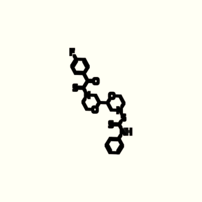 O=C(C(=S)N1CCOC(C2CN(SC(=S)Nc3ccccc3)CCO2)C1)c1ccc(F)cc1